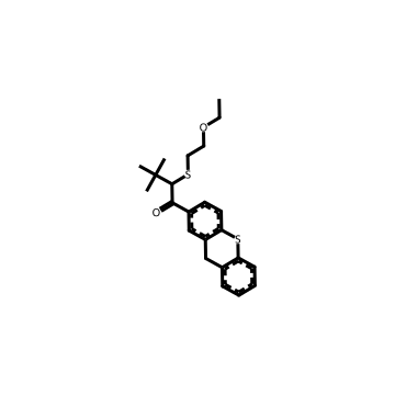 CCOCCSC(C(=O)c1ccc2c(c1)Cc1ccccc1S2)C(C)(C)C